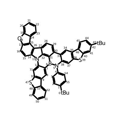 CC(C)(C)c1ccc(N2B3c4cc5c(cc4-n4c6ccc7oc8ccccc8c7c6c6ccc(c3c64)-c3cc4c(cc32)sc2cc(C(C)(C)C)ccc24)sc2ccccc25)cc1